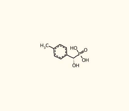 Cc1ccc([C@@H](O)P(=O)(O)O)cc1